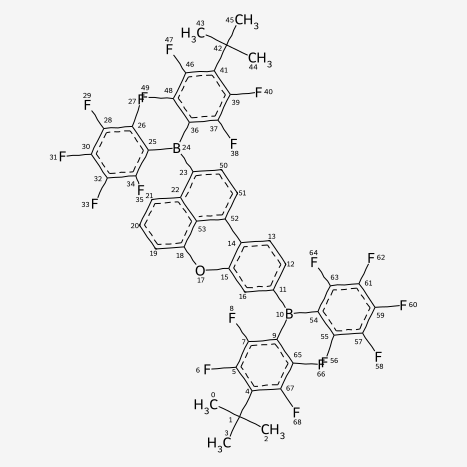 CC(C)(C)c1c(F)c(F)c(B(c2ccc3c(c2)Oc2cccc4c(B(c5c(F)c(F)c(F)c(F)c5F)c5c(F)c(F)c(C(C)(C)C)c(F)c5F)ccc-3c24)c2c(F)c(F)c(F)c(F)c2F)c(F)c1F